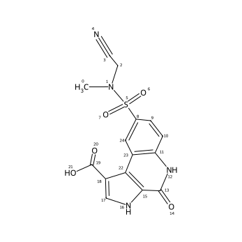 CN(CC#N)S(=O)(=O)c1ccc2[nH]c(=O)c3[nH]cc(C(=O)O)c3c2c1